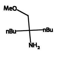 CCCCC(N)(CCCC)COC